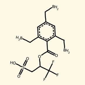 BCc1cc(CB)c(C(=O)OC(CS(=O)(=O)O)C(F)(F)F)c(CB)c1